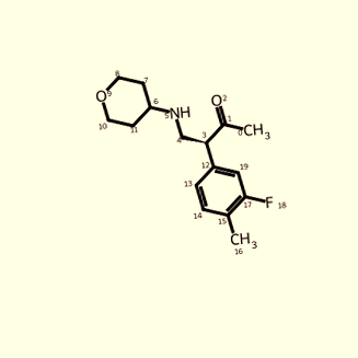 CC(=O)[C@H](CNC1CCOCC1)c1ccc(C)c(F)c1